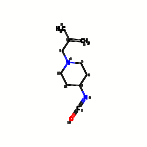 C=C(C)CN1CCC(N=C=O)CC1